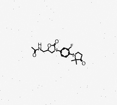 CC(=O)NCC1CN(c2ccc(N3CCC(=O)C3(C)C)c(F)c2)C(=O)O1